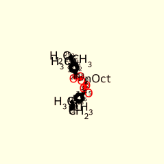 [CH2]CCCCCCC[C](OOC(=O)c1ccc([Si](C)(C)C=C)cc1)OOC(=O)c1ccc([Si](C)(C)C=C)cc1